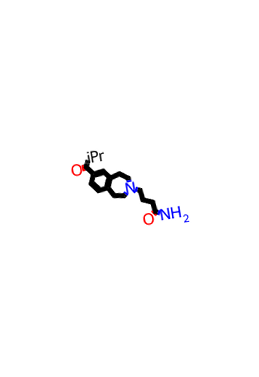 CC(C)C(=O)c1ccc2c(c1)CCN(CCCC(N)=O)CC2